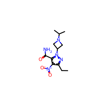 CCc1nn(C2CN(C(C)C)C2)c(C(N)=O)c1[N+](=O)[O-]